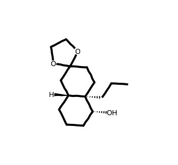 CCC[C@@]12CCC3(C[C@H]1CCC[C@H]2O)OCCO3